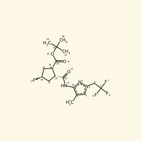 Cc1cn(CC(F)(F)F)nc1NC(=O)[C@@H]1C[C@@H](F)CN1C(=O)OC(C)(C)C